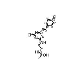 CB(O)NCCNc1nc(Cl)nc(SCc2ccc(Cl)cc2)n1